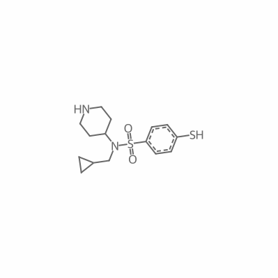 O=S(=O)(c1ccc(S)cc1)N(CC1CC1)C1CCNCC1